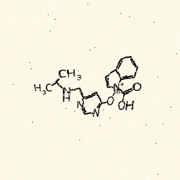 CC(C)NCc1cc(O[N@@+]2(C(=O)O)C=Cc3ccccc32)ncn1